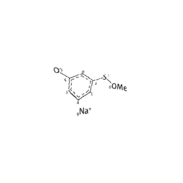 COSc1cccc([O-])c1.[Na+]